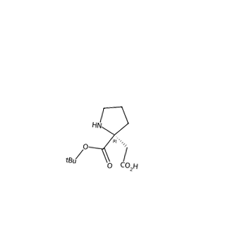 CC(C)(C)OC(=O)[C@]1(CC(=O)O)CCCN1